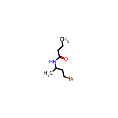 CCCC(=O)NC(C)CCBr